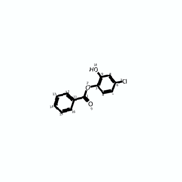 O=C(Oc1ccc(Cl)cc1O)c1ccccc1